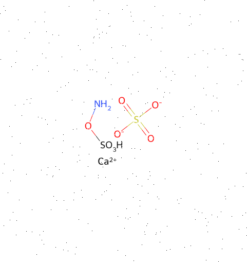 NOS(=O)(=O)O.O=S(=O)([O-])[O-].[Ca+2]